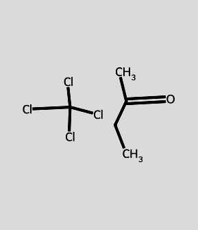 CCC(C)=O.ClC(Cl)(Cl)Cl